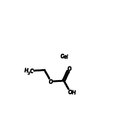 CCOC(=O)O.[Ge]